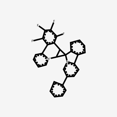 Fc1c(F)c(F)c2c(c1F)-c1cccc[n+]1C1C2C12c1ccccc1-c1ccc(-c3ccccc3)c[n+]12